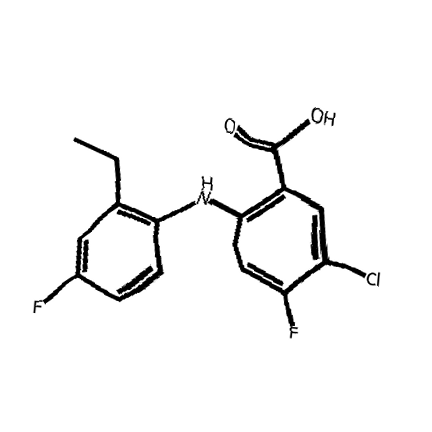 CCc1cc(F)ccc1Nc1cc(F)c(Cl)cc1C(=O)O